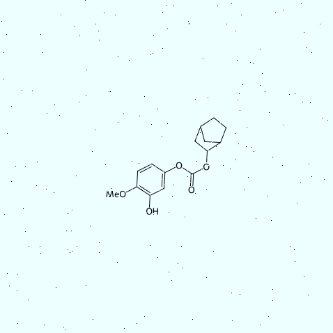 COc1ccc(OC(=O)OC2CC3CCC2C3)cc1O